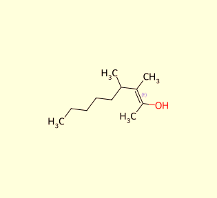 CCCCCC(C)/C(C)=C(\C)O